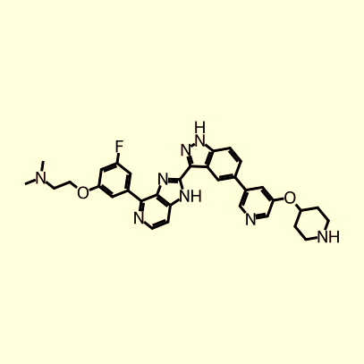 CN(C)CCOc1cc(F)cc(-c2nccc3[nH]c(-c4n[nH]c5ccc(-c6cncc(OC7CCNCC7)c6)cc45)nc23)c1